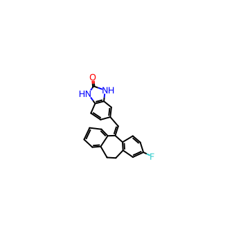 O=c1[nH]c2ccc(/C=C3\c4ccccc4CCc4cc(F)ccc43)cc2[nH]1